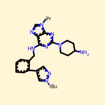 CC(C)n1cnc2c(NCc3ccccc3-c3cnn(C(C)(C)C)c3)nc(N3CCC(N)CC3)nc21